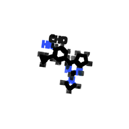 O=CNc1ccc(-c2nc(N3CCC3)nc3c2CCC3)cc1C1CC1